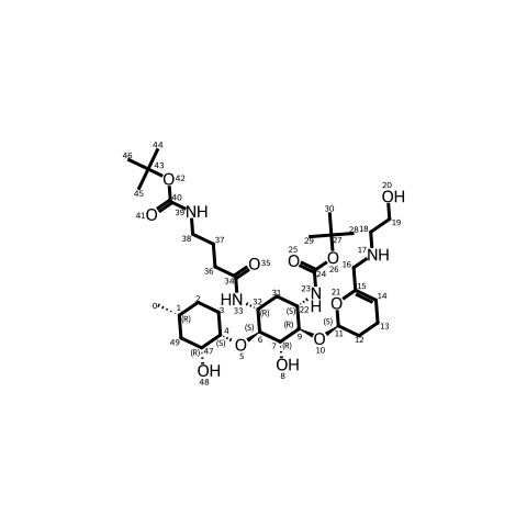 C[C@@H]1CC[C@H](O[C@@H]2[C@@H](O)[C@H](O[C@@H]3CCC=C(CNCCO)O3)[C@@H](NC(=O)OC(C)(C)C)C[C@H]2NC(=O)CCCNC(=O)OC(C)(C)C)[C@H](O)C1